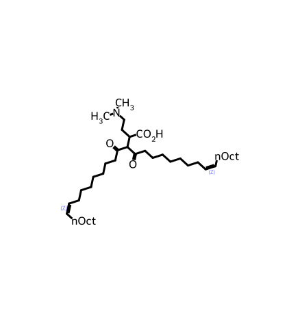 CCCCCCCC/C=C\CCCCCCCC(=O)C(C(=O)CCCCCCC/C=C\CCCCCCCC)C(CCN(C)C)C(=O)O